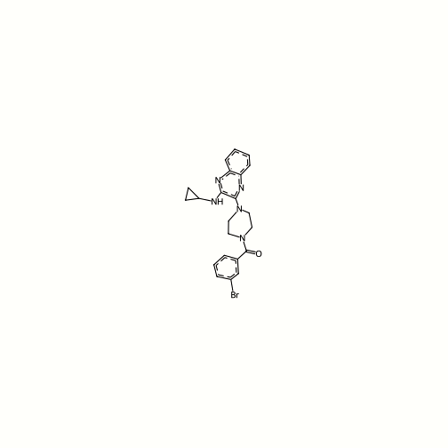 O=C(c1cccc(Br)c1)N1CCN(c2nc3ccccc3nc2NC2CC2)CC1